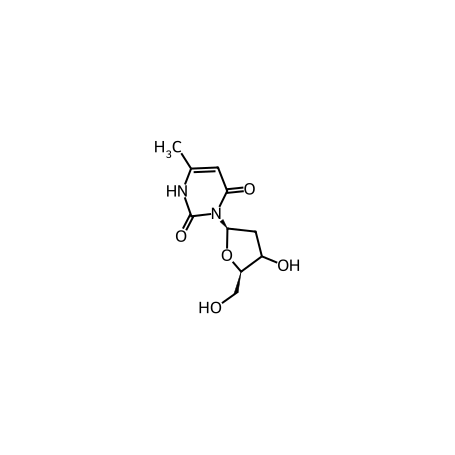 Cc1cc(=O)n([C@H]2CC(O)[C@@H](CO)O2)c(=O)[nH]1